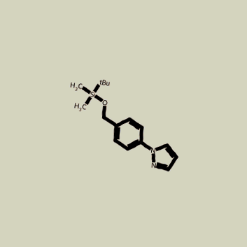 CC(C)(C)[Si](C)(C)OCc1ccc(-n2cccn2)cc1